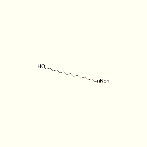 CCCCCCCCCCC/C=C/CCCCCCCCCCCO